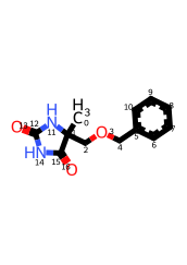 CC1(COCc2ccccc2)NC(=O)NC1=O